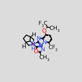 Cc1nnc(N2C[C@H]3CC[C@@H](C2)C3Nc2nc3c(OC(C)C(F)(F)F)ccc(C(F)(F)F)n3n2)o1